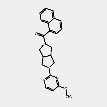 COc1ccnc(N2CC3CN(C(=O)c4cccc5ccccc45)CC3C2)n1